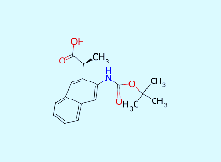 C[C@H](C(=O)O)c1cc2ccccc2cc1NC(=O)OC(C)(C)C